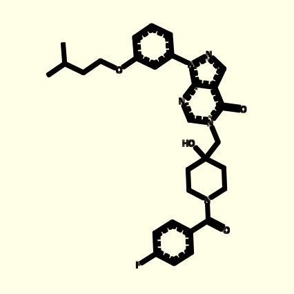 CC(C)CCOc1cccc(-n2ncc3c(=O)n(CC4(O)CCN(C(=O)c5ccc(F)cc5)CC4)cnc32)c1